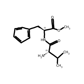 COC(=O)[C@H](Cc1ccccc1)NC(=O)[C@@H](N)C(C)C